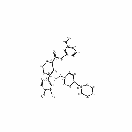 CCc1ccc([C@@]2(CCN3CCC(N4CCCCC4)CC3)CCCN(C(=O)Cc3cccc(OC(C)C)c3)C2)cc1CC